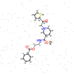 O=C(NCCOC(=O)c1ccccc1)c1ccc[n+](CC(=O)c2cccs2)c1.[Br-]